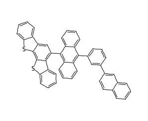 c1cc(-c2ccc3ccccc3c2)cc(-c2c3ccccc3c(-c3cc4c5ccccc5sc4c4sc5ccccc5c34)c3ccccc23)c1